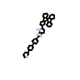 C1=C(c2ccc3c(c2)C2(c4ccccc4-c4ccccc42)c2ccccc2-3)NC2OC(c3ccc(-c4ccc(-c5cccnc5)cc4)cc3)=NC2=C1